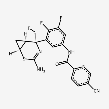 N#Cc1ccc(C(=O)Nc2cc(F)c(F)c([C@@]3(CF)N=C(N)S[C@H]4C[C@H]43)c2)nc1